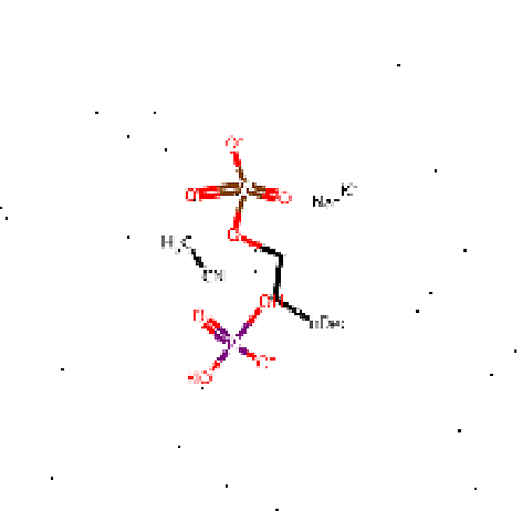 CC#N.CCCCCCCCCCCCOS(=O)(=O)[O-].O=P([O-])(O)O.[K+].[Na+]